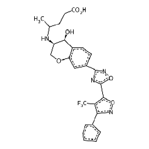 CC(CCC(=O)O)N[C@@H]1COc2cc(-c3noc(-c4onc(-c5ccccc5)c4C(F)(F)F)n3)ccc2[C@@H]1O